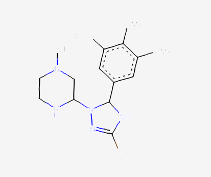 COc1cc(C2NC(S)=NN2C2CN(C)CCN2)cc(OC)c1OC